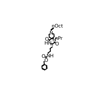 CCCCCCCCC=CN1CCC2(CC1)C(=O)N[C@@H](CCCCNC(=O)OCc1ccccc1)C(=O)N2CCC